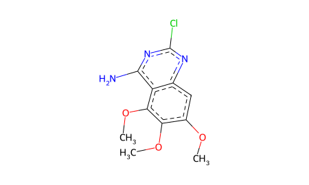 COc1cc2nc(Cl)nc(N)c2c(OC)c1OC